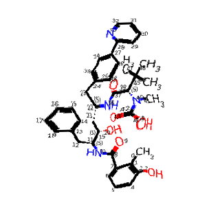 Cc1c(O)cccc1C(=O)N[C@@H](Cc1ccccc1)[C@@H](O)C[C@H](Cc1ccc(-c2ccccn2)cc1)NC(=O)[C@@H](N(C)C(=O)O)C(C)(C)C